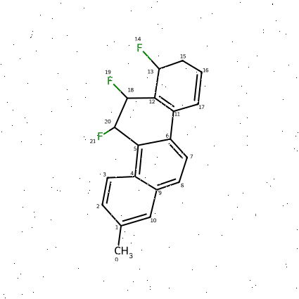 Cc1ccc2c3c(ccc2c1)C1=C(C(F)CC=C1)C(F)C3F